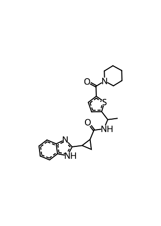 CC(NC(=O)C1CC1c1nc2ccccc2[nH]1)c1ccc(C(=O)N2CCCCC2)s1